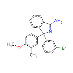 COc1ccc(C2(c3cccc(Br)c3)N=C(N)c3ccccc32)cc1C